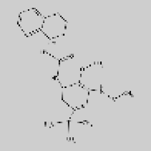 COc1c(NSC)cc(C(C)(C)C)cc1NC(=O)N[C@H]1CCCc2ccccc21